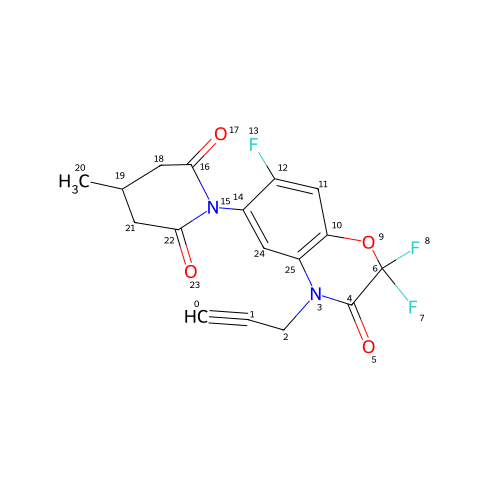 C#CCN1C(=O)C(F)(F)Oc2cc(F)c(N3C(=O)CC(C)CC3=O)cc21